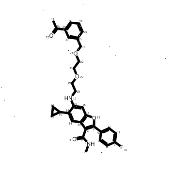 CNC(=O)c1c(-c2ccc(F)cc2)oc2cc(NCCOCCOCc3cccc(C(C)=O)c3)c(C3CC3)cc12